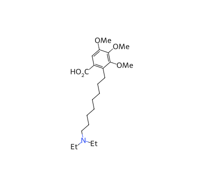 CCN(CC)CCCCCCCCc1c(C(=O)O)cc(OC)c(OC)c1OC